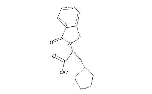 O=C(O)C(CC1CCCC1)N1Cc2ccccc2C1=O